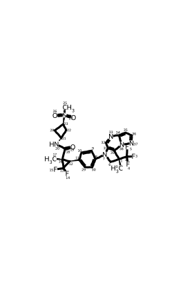 C[C@@]1(C(F)(F)F)CN(c2ccc([C@H]3C(F)(F)[C@]3(C)C(=O)N[C@H]3C[C@H](S(C)(=O)=O)C3)cc2)c2cnc3ccnn3c21